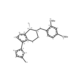 COc1ccc(CN2CCn3c(-c4nc(C)cs4)nnc3[C@@H]2C)c(OC)c1